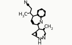 C=C1C=NNC2=C(C2)C1C1=Nc2ccccc2C([C@@H](C)CC#N)C#C1